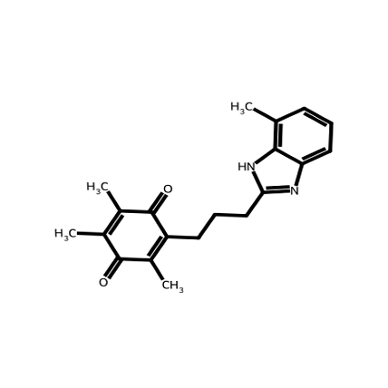 CC1=C(C)C(=O)C(CCCc2nc3cccc(C)c3[nH]2)=C(C)C1=O